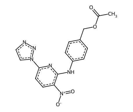 CC(=O)OCc1ccc(Nc2nc(-n3ccnn3)ccc2[N+](=O)[O-])cc1